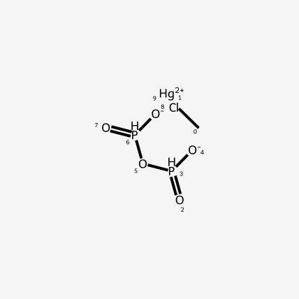 CCl.O=[PH]([O-])O[PH](=O)[O-].[Hg+2]